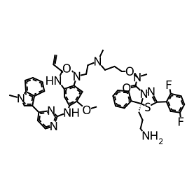 C=CC(=O)Nc1cc(Nc2nccc(-c3cn(C)c4ccccc34)n2)c(OC)cc1N(C)CCN(C)CCCON(C)C(=O)N1N=C(c2cc(F)ccc2F)S[C@@]1(CCCN)c1ccccc1